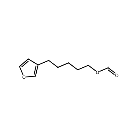 O=[C]OCCCCCc1ccoc1